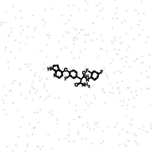 NC(=O)C(C(=O)Nc1ccc(F)cc1F)c1ccc(Oc2ccnc3[nH]ccc23)c(F)c1